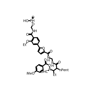 CCCCCC(C(=O)NCNC(=O)c1ccc(-c2ccc(C(=O)NCO[PH](=O)O)c(OCC)c2)o1)C(CC)N(C=O)OC(=O)c1ccc(OC)cc1